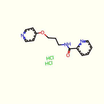 Cl.Cl.O=C(NCCCOc1ccncc1)c1ccccn1